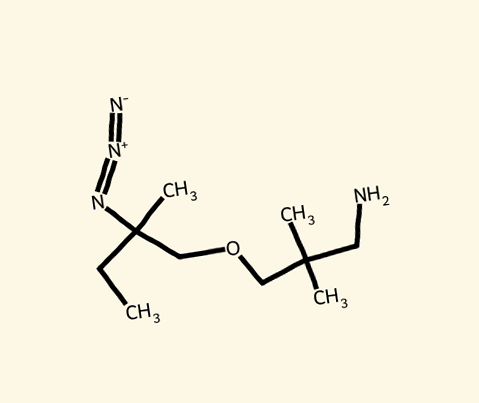 CCC(C)(COCC(C)(C)CN)N=[N+]=[N-]